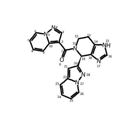 O=C(c1cnn2ccccc12)N1CCc2[nH]cnc2[C@H]1c1cc2ccccn2n1